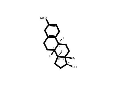 COC1=CCC2=C(CC[C@@H]3[C@@H]2CC[C@]2(C(C)C)[C@@H](O)CC[C@@H]32)C1